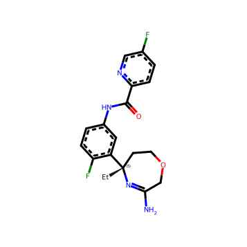 CC[C@@]1(c2cc(NC(=O)c3ccc(F)cn3)ccc2F)CCOCC(N)=N1